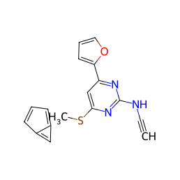 C#CNc1nc(SC)cc(-c2ccco2)n1.c1cc2cc-2c1